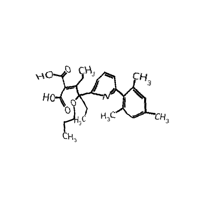 CCCOC(CC)(C(CC)=C(C(=O)O)C(=O)O)c1cccc(-c2c(C)cc(C)cc2C)n1